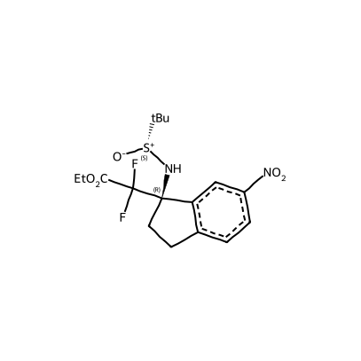 CCOC(=O)C(F)(F)[C@@]1(N[S@+]([O-])C(C)(C)C)CCc2ccc([N+](=O)[O-])cc21